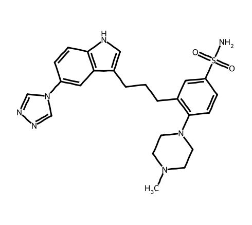 CN1CCN(c2ccc(S(N)(=O)=O)cc2CCCc2c[nH]c3ccc(-n4cnnc4)cc23)CC1